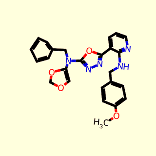 COc1ccc(CNc2ncccc2-c2nnc(N(Cc3ccccc3)C3=COCO3)o2)cc1